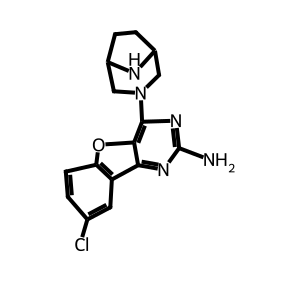 Nc1nc(N2CC3CCC(C2)N3)c2oc3ccc(Cl)cc3c2n1